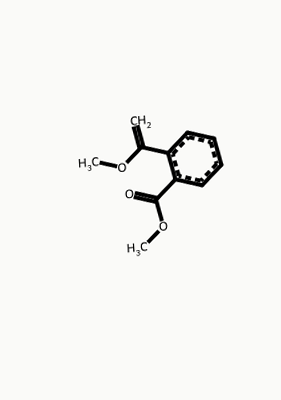 C=C(OC)c1ccccc1C(=O)OC